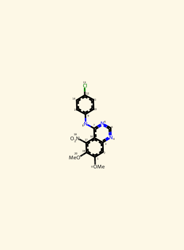 COc1cc2ncnc([N]c3ccc(Cl)cc3)c2c([N+](=O)[O-])c1OC